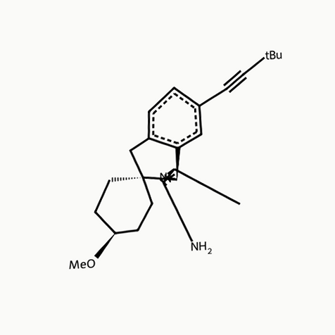 CO[C@H]1CC[C@]2(CC1)Cc1ccc(C#CC(C)(C)C)cc1[C@@]21N=C(C)C(N)=N1